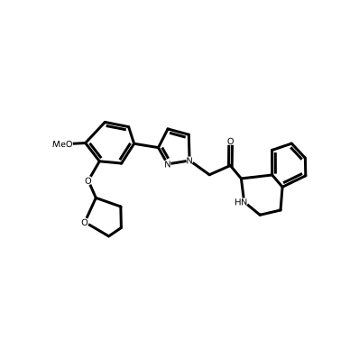 COc1ccc(-c2ccn(CC(=O)C3NCCc4ccccc43)n2)cc1OC1CCCO1